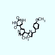 COc1ccc(Cc2coc(-c3cc(-c4c[nH]c(=O)[nH]c4=O)nnc3C)n2)cc1